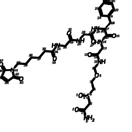 NC(=O)C[S+]([O-])CCOCNC(=O)CNC(=O)[C@H](Cc1ccccc1)NC(=O)CNC(=O)CNC(=O)CCCCCN1C(=O)C=CC1=O